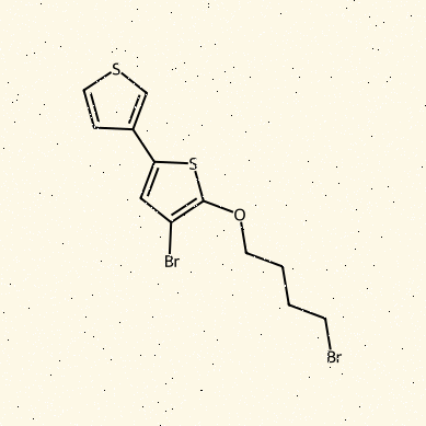 BrCCCCOc1sc(-c2ccsc2)cc1Br